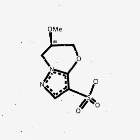 CO[C@H]1COc2c(S(=O)(=O)Cl)cnn2C1